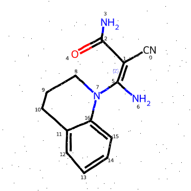 N#C/C(C(N)=O)=C(\N)N1CCCc2ccccc21